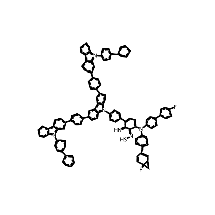 N=C1C(c2ccc(-n3c4ccc(-c5ccc(-c6ccc7c8ccccc8n(-c8ccc(-c9ccccc9)cc8)c7c6)cc5)cc4c4cc(-c5ccc(-c6ccc7c8ccccc8n(-c8ccc(-c9ccccc9)cc8)c7c6)cc5)ccc43)cc2)=CC=C(N(c2ccc(C3=CC4CC4(F)C=C3)cc2)c2ccc(-c3ccc(F)cc3)cc2)/C1=N/S